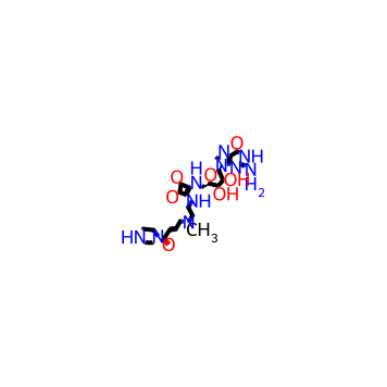 CN(C/C=C/C(=O)N1CCNCC1)CCNc1c(NC[C@H]2O[C@@H](n3cnc4c(=O)[nH]c(N)nc43)C(O)C2O)c(=O)c1=O